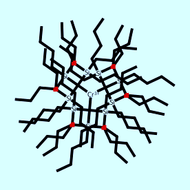 CCCC[Si](CCCC)(CCCC)[C]([Cr+3]([C]([Si](CCCC)(CCCC)CCCC)([Si](CCCC)(CCCC)CCCC)[Si](CCCC)(CCCC)CCCC)[C]([Si](CCCC)(CCCC)CCCC)([Si](CCCC)(CCCC)CCCC)[Si](CCCC)(CCCC)CCCC)([Si](CCCC)(CCCC)CCCC)[Si](CCCC)(CCCC)CCCC